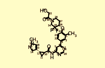 Cc1cc(-c2cc(NC(=O)C3C[C@@H]3c3cnn(C)c3)ncn2)ccc1O[C@H]1CCN(C(=O)CO)CC1(F)F